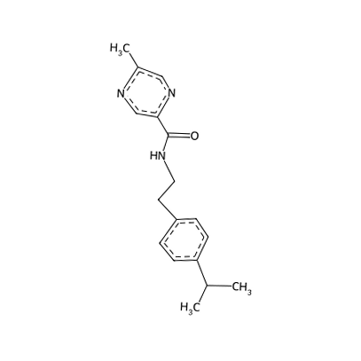 Cc1cnc(C(=O)NCCc2ccc(C(C)C)cc2)cn1